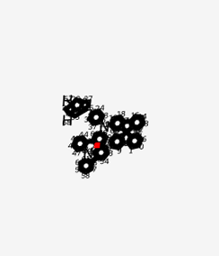 c1ccc(C2(c3ccccc3)c3ccccc3-c3ccc(N(c4ccc([C@]56CC7C[C@H]8C[C@H](C5)C8C76)cc4)c4cccc(-c5ccccc5-n5c6ccccc6c6ccccc65)c4)cc32)cc1